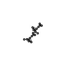 c1ccc(-c2ccc3c(c2)c2ccc4c5ccccc5oc4c2n3-c2ccc(-c3ccc(-n4c5ccccc5c5c(-c6cc(-c7ccccc7)cc7c6c6ccc8c9ccccc9oc8c6n7-c6ccc(-c7ccc(-n8c9ccccc9c9ccccc98)cc7)cc6)cccc54)cc3)cc2)cc1